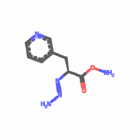 NN=N[C@@H](Cc1cccnc1)C(=O)ON